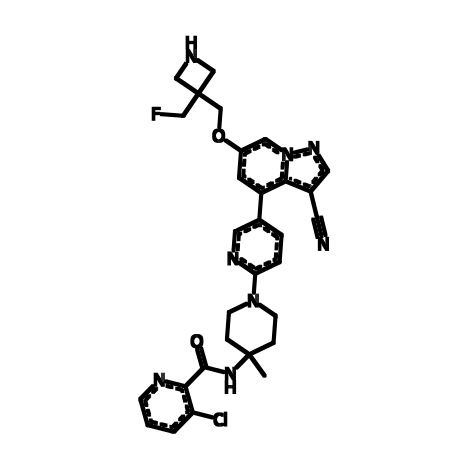 CC1(NC(=O)c2ncccc2Cl)CCN(c2ccc(-c3cc(OCC4(CF)CNC4)cn4ncc(C#N)c34)cn2)CC1